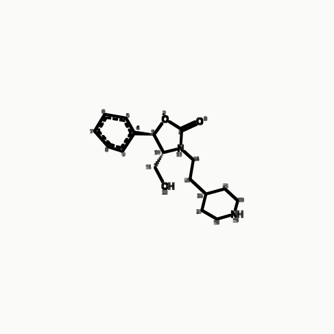 O=C1O[C@H](c2ccccc2)[C@@H](CO)N1CCC1CCNCC1